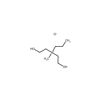 CCC[N+](C)(CCO)CCO.[Cl-]